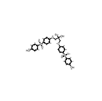 CCC(O)(COc1ccc(S(=O)(=O)c2ccc(O)cc2)cc1)COc1ccc(S(=O)(=O)c2ccc(O)cc2)cc1